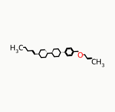 CC=CCOCc1ccc([C@H]2CC[C@H]([C@H]3CC[C@H](C=CCCC)CC3)CC2)cc1